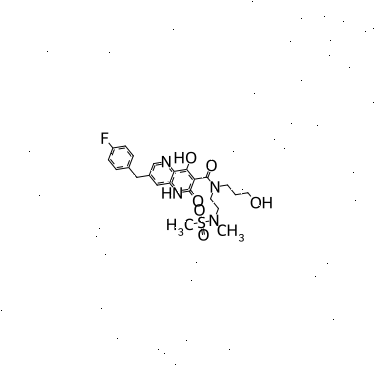 CN(CCN(CCCO)C(=O)c1c(O)c2ncc(Cc3ccc(F)cc3)cc2[nH]c1=O)S(C)(=O)=O